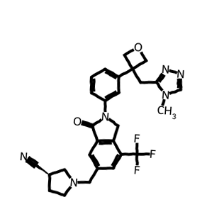 Cn1cnnc1CC1(c2cccc(N3Cc4c(cc(CN5CC[C@@H](C#N)C5)cc4C(F)(F)F)C3=O)c2)COC1